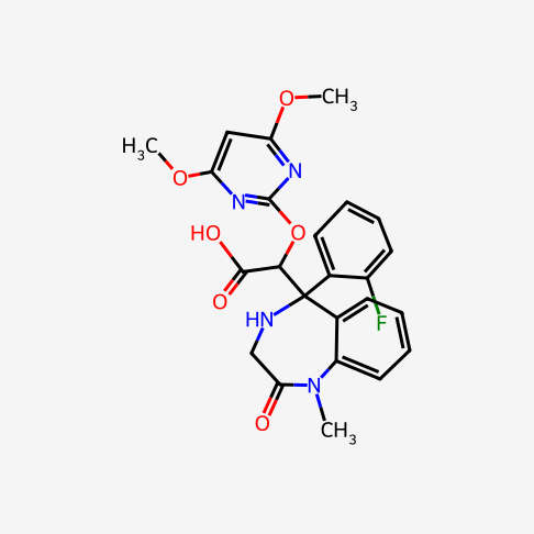 COc1cc(OC)nc(OC(C(=O)O)C2(c3ccccc3F)NCC(=O)N(C)c3ccccc32)n1